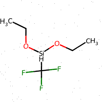 CCO[SiH](OCC)C(F)(F)F